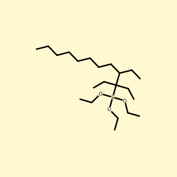 CCCCCCCCC(CC)C(CC)(CC)[Si](OCC)(OCC)OCC